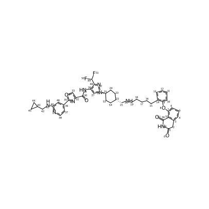 O=C1Cc2cccc(Oc3ccccc3CCCCCNC[C@H]3CC[C@H](n4cc(NC(=O)c5coc(-c6ccnc(NCC7CC7)c6)n5)c(C(F)F)n4)CC3)c2C(=O)N1